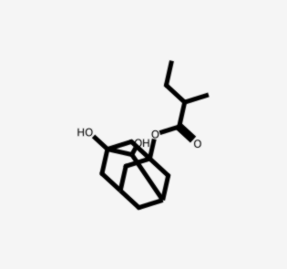 CCC(C)C(=O)OC12CC3CC(C1)C(O)C(O)(C3)C2